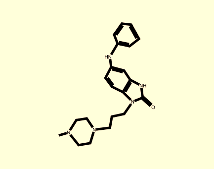 CN1CCN(CCCn2c(=O)[nH]c3cc(Nc4ccccc4)ccc32)CC1